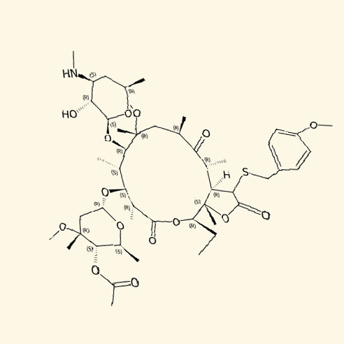 CC[C@H]1OC(=O)[C@H](C)[C@@H](O[C@H]2C[C@@](C)(OC)[C@@H](OC(C)=O)[C@H](C)O2)[C@H](C)[C@@H](O[C@@H]2O[C@H](C)C[C@H](NC)[C@H]2O)[C@](C)(OC)C[C@@H](C)C(=O)[C@H](C)[C@H]2C(SCc3ccc(OC)cc3)C(=O)O[C@@]21C